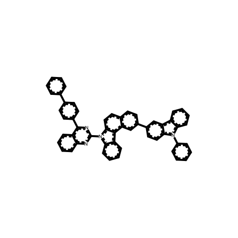 c1ccc(-c2ccc(-c3nc(-n4c5ccccc5c5c6cc(-c7ccc8c(c7)c7ccccc7n8-c7ccccc7)ccc6ccc54)nc4ccccc34)cc2)cc1